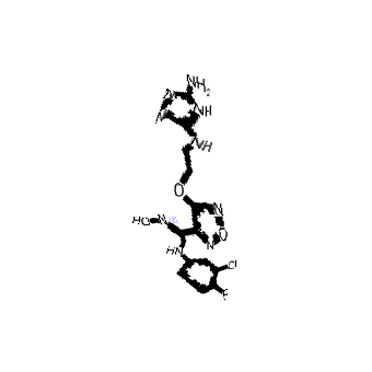 Nc1nnc(NCCOc2nonc2/C(=N/O)Nc2ccc(F)c(Cl)c2)[nH]1